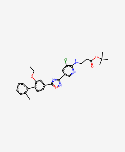 CCOc1cc(-c2nc(-c3cnc(NCCC(=O)OC(C)(C)C)c(Cl)c3)no2)ccc1-c1ccccc1C